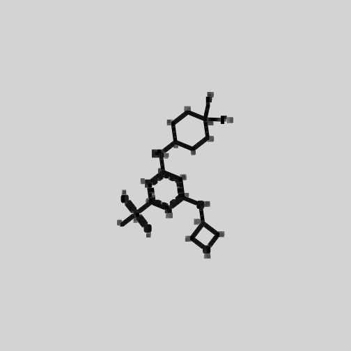 CS(=O)(=O)c1nc(NC2CCC(F)(F)CC2)cc(OC2COC2)n1